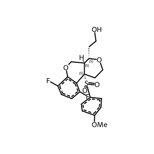 COc1ccc(S(=O)(=O)[C@@]23CCO[C@@H](CCO)[C@@H]2COc2c(F)ccc(F)c23)cc1